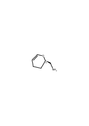 NC[C@H]1CCC=CO1